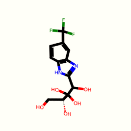 OC[C@@H](O)C(O)(O)C(O)c1nc2cc(C(F)(F)F)ccc2[nH]1